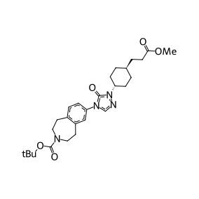 COC(=O)CC[C@H]1CC[C@H](n2ncn(-c3ccc4c(c3)CCN(C(=O)OC(C)(C)C)CC4)c2=O)CC1